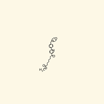 COC(=O)CCCCCCC(=O)c1ccc(-c2ccc(CN3CCOCC3)cc2)nc1